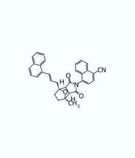 C[C@@]12CC[C@@](C/C=C/c3cccc4ccccc34)(O1)[C@H]1C(=O)N(c3ccc(C#N)c4ccccc34)C(=O)[C@H]12